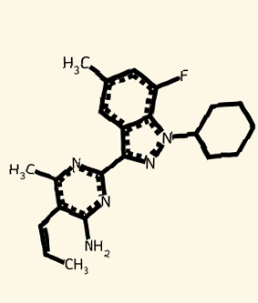 C/C=C\c1c(C)nc(-c2nn(C3CCCCC3)c3c(F)cc(C)cc23)nc1N